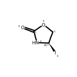 O=C1N[C@H](I)CO1